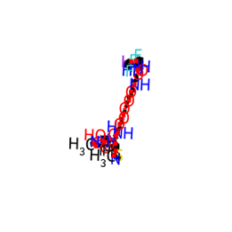 Cc1cc([C@H](C(=O)N2C[C@H](O)C[C@H]2C(=O)N[C@@H](CC(=O)NCCOCCOCCOCCOCCOCCNCCCONC(=O)c2ccc(F)c(F)c2Nc2ccc(I)cc2F)c2ccc(-c3scnc3C)cc2)C(C)C)on1